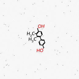 Cc1c(CO)ccc(-c2ccc(CO)cc2)c1C